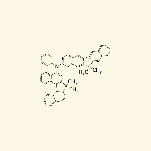 CC1(C)c2cc3ccccc3cc2-c2cc3ccc(N(c4ccccc4)c4cc5c(c6ccccc46)-c4c(ccc6ccccc46)C5(C)C)cc3cc21